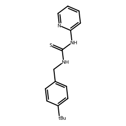 CC(C)(C)c1ccc(CNC(=S)Nc2ccccn2)cc1